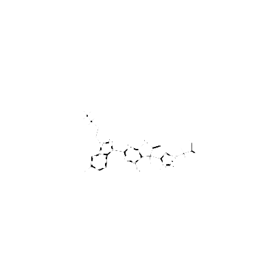 CC1(c2cn(C(C)(C)C(=O)O)nn2)C(=O)Nc2nc(-c3nn(CCC(F)(F)C(F)(F)F)c4cc(Cl)ccc34)nc(N)c21